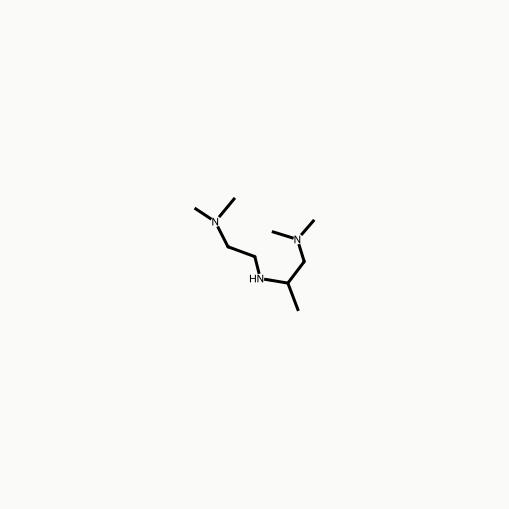 CC(CN(C)C)NCCN(C)C